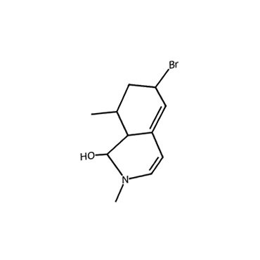 CC1CC(Br)C=C2C=CN(C)C(O)C21